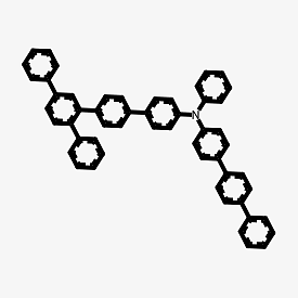 c1ccc(-c2ccc(-c3ccc(N(c4ccccc4)c4ccc(-c5ccc(-c6cc(-c7ccccc7)ccc6-c6ccccc6)cc5)cc4)cc3)cc2)cc1